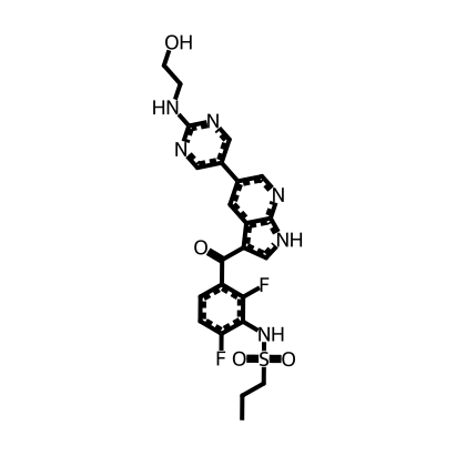 CCCS(=O)(=O)Nc1c(F)ccc(C(=O)c2c[nH]c3ncc(-c4cnc(NCCO)nc4)cc23)c1F